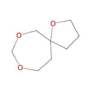 C1COC2(C1)CCOCOC2